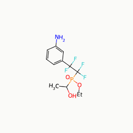 CCOP(=O)(C(C)O)C(F)(F)C(F)(F)c1cccc(N)c1